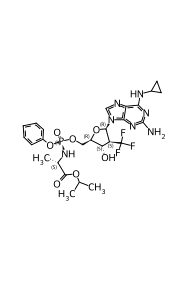 CC(C)OC(=O)[C@H](C)N[P@@](=O)(OC[C@H]1O[C@@H](n2cnc3c(NC4CC4)nc(N)nc32)[C@@H](C(F)(F)F)[C@@H]1O)Oc1ccccc1